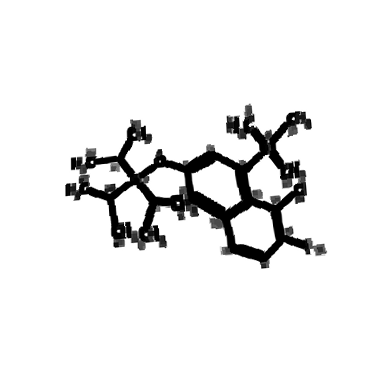 CC(C)[Si](Oc1c[c]([Sn]([CH3])([CH3])[CH3])c2c(Cl)c(F)ccc2c1)(C(C)C)C(C)C